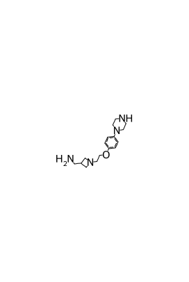 NCC1CN(CCOc2ccc(N3CCNCC3)cc2)C1